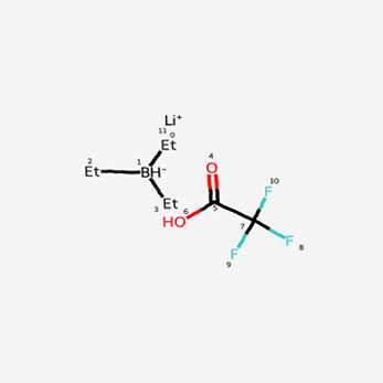 CC[BH-](CC)CC.O=C(O)C(F)(F)F.[Li+]